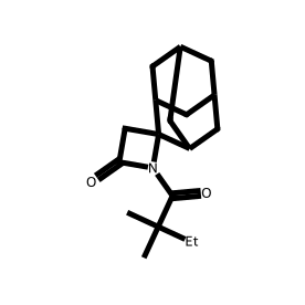 CCC(C)(C)C(=O)N1C(=O)CC12C1CC3CC(C1)CC2C3